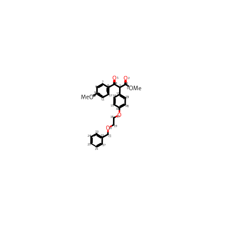 COC(=O)C(C(=O)c1ccc(OC)cc1)c1ccc(OCCOCc2ccccc2)cc1